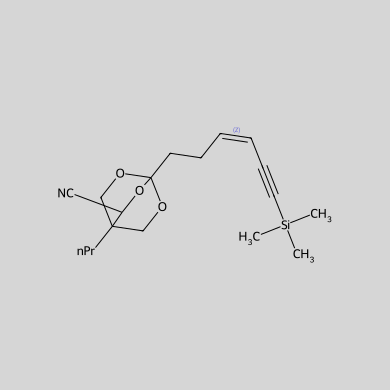 CCCC12COC(CC/C=C\C#C[Si](C)(C)C)(OC1)OC2C#N